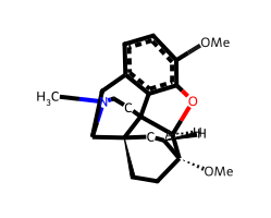 COc1ccc2c3c1O[C@@H]1C34CCN(C)C(C2)[C@]42CC[C@@]1(OC)[C@@H](C(C)=O)C2